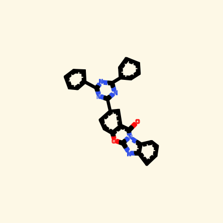 O=c1c2cc(-c3nc(-c4ccccc4)nc(-c4ccccc4)n3)ccc2oc2nc3ccccc3n12